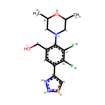 CC1CN(c2c(CO)cc(-c3csnn3)c(F)c2F)CC(C)O1